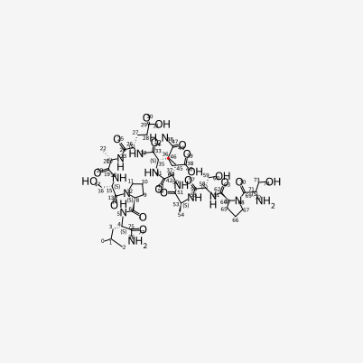 CC(C)C[C@H](NC(=O)[C@@H]1CCCN1C(=O)[C@H](CO)NC(=O)[C@H](C)NC(=O)[C@H](CCC(=O)O)NC(=O)[C@H](CCC(=O)O)NC(=O)[C@H](CCC(N)=O)NC(=O)[C@H](C)NC(=O)[C@H](CO)NC(=O)[C@@H]1CCCN1C(=O)[C@@H](N)CO)C(N)=O